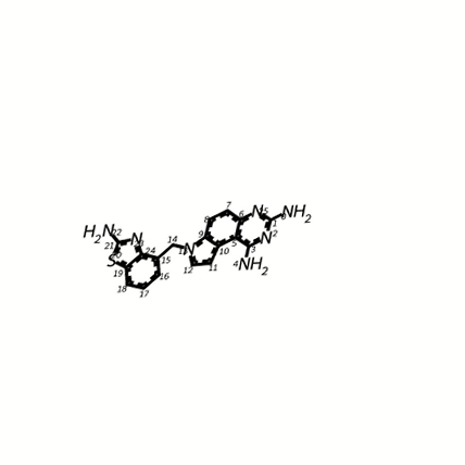 Nc1nc(N)c2c(ccc3c2ccn3Cc2cccc3sc(N)nc23)n1